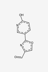 O=Cc1coc(-c2ccc(O)nc2)n1